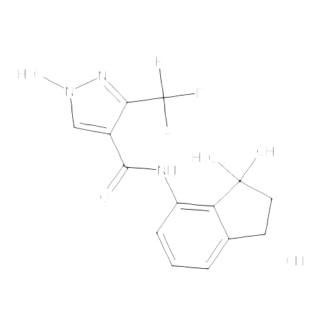 C[C@H]1CC(C)(C)c2c(NC(=O)c3cn(C)nc3C(F)(F)F)cccc21